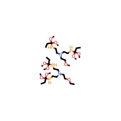 CCC(OC)(OC)PCCN(CCOC)CCPC(CC)(OC)OC.CCOCCN(CCPC(CC)(OC)OC)CCPC(CC)(OC)OC